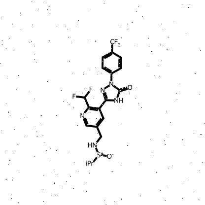 CC(C)[S+]([O-])NCc1cnc(C(F)F)c(-c2nn(-c3ccc(C(F)(F)F)cc3)c(=O)[nH]2)c1